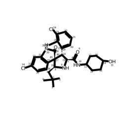 CC(C)(C)C[C@@H]1N[C@H](C(=O)NC2CCC(O)CC2)[C@@H](c2cccc(Cl)c2F)[C@]12C(=O)Nc1cc(Cl)ccc12